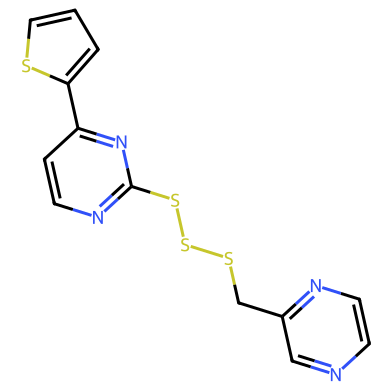 c1csc(-c2ccnc(SSSCc3cnccn3)n2)c1